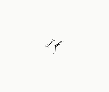 CC=O.OO